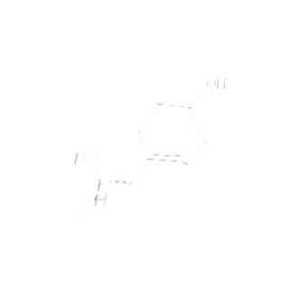 O=[PH](O)Cc1ccc(O)cc1